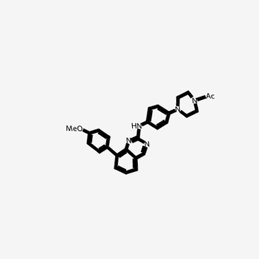 COc1ccc(-c2cccc3cnc(Nc4ccc(N5CCN(C(C)=O)CC5)cc4)nc23)cc1